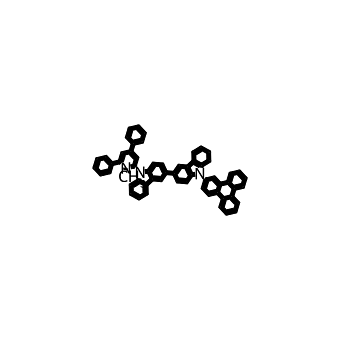 CN1C(c2ccccc2)=CC(c2ccccc2)=CC1n1c2ccccc2c2cc(-c3ccc4c(c3)c3c(n4-c4ccc5c6ccccc6c6ccccc6c5c4)CCC=C3)ccc21